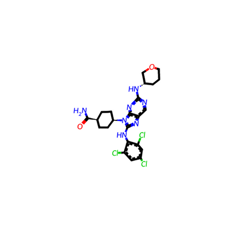 NC(=O)[C@H]1CC[C@@H](n2c(Nc3c(Cl)cc(Cl)cc3Cl)nc3cnc(N[C@H]4CCCOC4)nc32)CC1